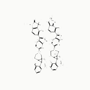 CN1C(=O)C(F)(F)c2c1ccc(-c1n[nH]c3nc(N4CC[C@@H]5[C@H](C4)[C@@]5(CN)c4ccccc4F)cnc13)c2Cl.Cn1cc2ccc(-c3n[nH]c4nc(N5CC[C@@H]6[C@H](C5)[C@@]6(CN)c5ccccc5F)cnc34)c(Cl)c2n1